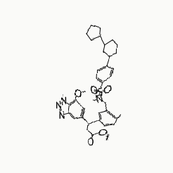 COc1cc(C(CC(=O)OI)c2ccc(C)c(CN(C)S(=O)(=O)c3ccc(C4CCCC(C5CCCC5)C4)cc3)c2)cc2nnn(C)c12